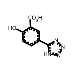 O=C(O)c1cc(-c2nnn[nH]2)ccc1O